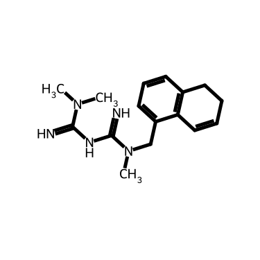 CN(C)C(=N)NC(=N)N(C)Cc1cccc2c1C=CCC2